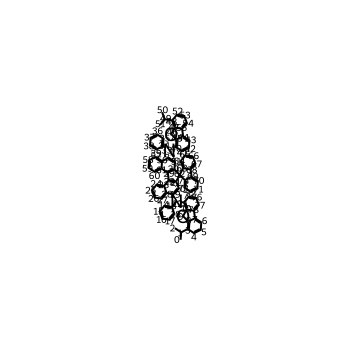 CC(C)c1cccc2c1oc1c(N(c3ccccc3)c3cc4c(c5ccccc35)-c3c(cc(N(c5ccccc5)c5cccc6c5oc5c(C(C)C)cccc56)c5ccccc35)C43c4ccccc4-c4ccccc43)cccc12